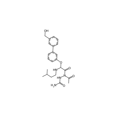 CC(=O)N(NC(N)=O)C(=O)C(NCCC(C)C)Oc1cccc(-c2cccc(CO)c2)c1